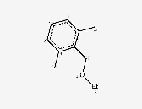 [CH2]COCc1c(C)cccc1C